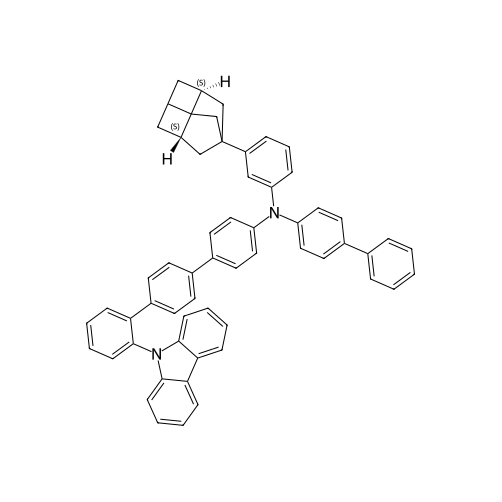 c1ccc(-c2ccc(N(c3ccc(-c4ccc(-c5ccccc5-n5c6ccccc6c6ccccc65)cc4)cc3)c3cccc(C45C[C@@H]6CC7C[C@@H](C4)C76C5)c3)cc2)cc1